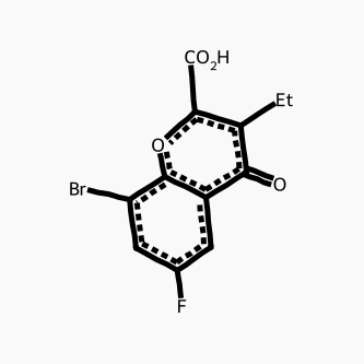 CCc1c(C(=O)O)oc2c(Br)cc(F)cc2c1=O